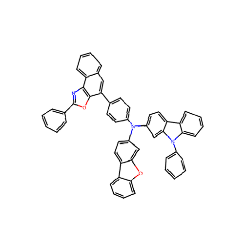 c1ccc(-c2nc3c(o2)c(-c2ccc(N(c4ccc5c(c4)oc4ccccc45)c4ccc5c6ccccc6n(-c6ccccc6)c5c4)cc2)cc2ccccc23)cc1